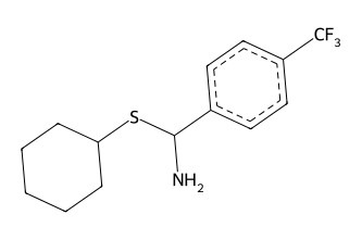 NC(SC1CCCCC1)c1ccc(C(F)(F)F)cc1